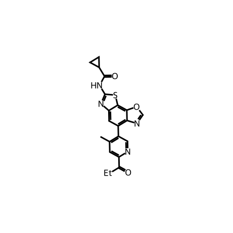 CCC(=O)c1cc(C)c(-c2cc3nc(NC(=O)C4CC4)sc3c3ocnc23)cn1